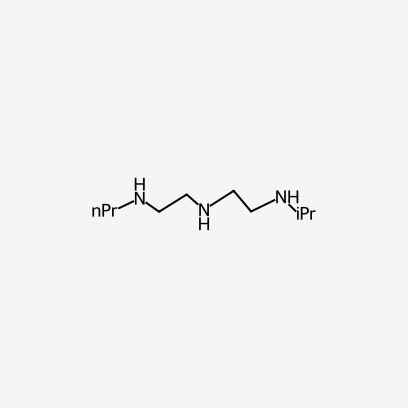 CCCNCCNCCNC(C)C